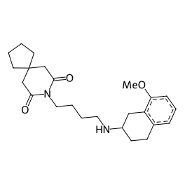 COc1cccc2c1CC(NCCCCN1C(=O)CC3(CCCC3)CC1=O)CC2